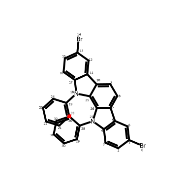 Brc1ccc2c(c1)c1ccc3c4cc(Br)ccc4n(-c4ccccc4)c3c1n2-c1ccccc1